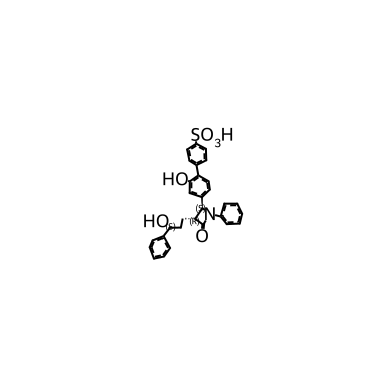 O=C1[C@H](CC[C@H](O)c2ccccc2)[C@@H](c2ccc(-c3ccc(S(=O)(=O)O)cc3)c(O)c2)N1c1ccccc1